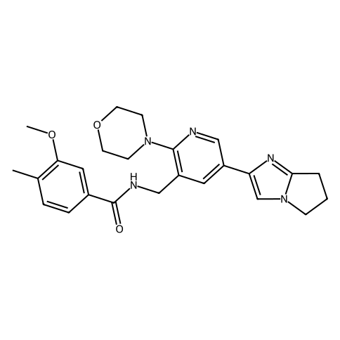 COc1cc(C(=O)NCc2cc(-c3cn4c(n3)CCC4)cnc2N2CCOCC2)ccc1C